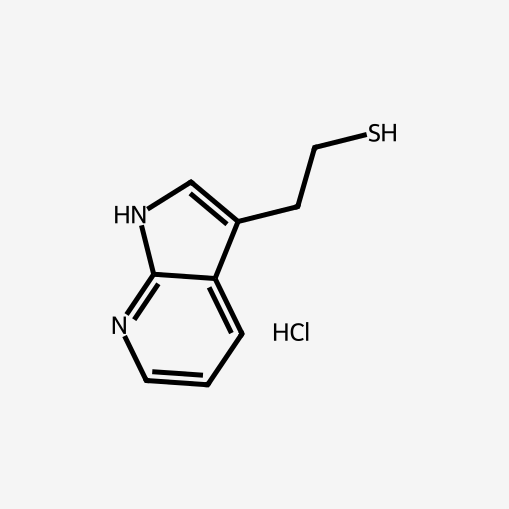 Cl.SCCc1c[nH]c2ncccc12